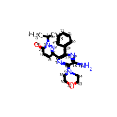 CC(C)n1nc(-c2nc(N3CCOCC3)c(N)nc2-c2ccccc2)ccc1=O